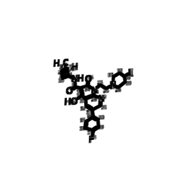 C[C@@H]1C2CC1(NC(=O)c1c(O)c3cc(-c4ccc(F)cc4)cnc3n(CCN3CCC(F)CC3)c1=O)C2